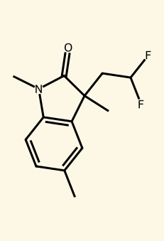 Cc1ccc2c(c1)C(C)(CC(F)F)C(=O)N2C